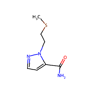 CSCCn1nccc1C(N)=O